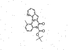 Cc1cccc2c1n1c(cc3cccnc31)c(=O)n2C(=O)OC(C)(C)C